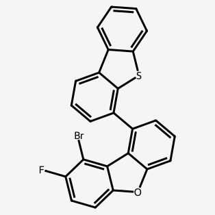 Fc1ccc2oc3cccc(-c4cccc5c4sc4ccccc45)c3c2c1Br